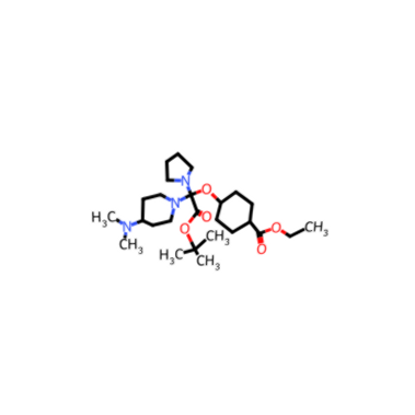 CCOC(=O)C1CCC(OC(C(=O)OC(C)(C)C)(N2CCCC2)N2CCC(N(C)C)CC2)CC1